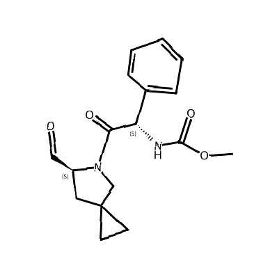 COC(=O)N[C@H](C(=O)N1CC2(CC2)C[C@H]1C=O)c1ccccc1